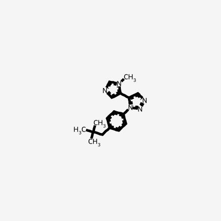 Cn1cncc1-c1cnnn1-c1ccc(CC(C)(C)C)cc1